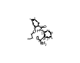 CCCOc1ccccc1C(=O)Nc1ncccc1C(N)=O